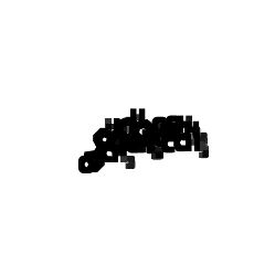 CC(C)(C)[Si](C)(C)O[C@H]1CC[C@@]2(C)[C@H](CC[C@@H]3[C@@H]2CC[C@]2(C)[C@@H](c4ccoc4)CC[C@]32O)C1